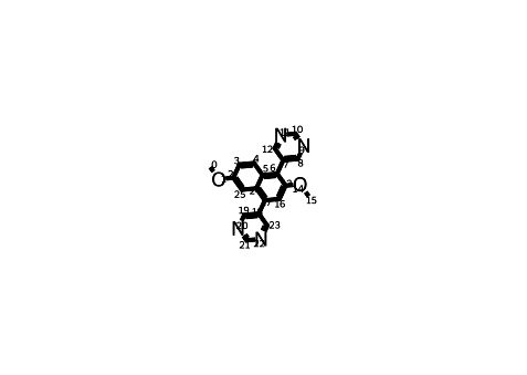 COc1ccc2c(-c3cncnc3)c(OC)cc(-c3cncnc3)c2c1